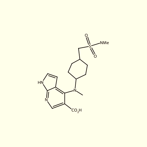 CNS(=O)(=O)CC1CCC(N(C)c2c(C(=O)O)cnc3[nH]ccc23)CC1